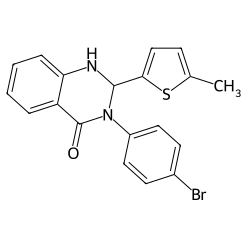 Cc1ccc(C2Nc3ccccc3C(=O)N2c2ccc(Br)cc2)s1